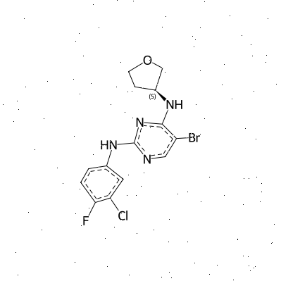 Fc1ccc(Nc2ncc(Br)c(N[C@H]3CCOC3)n2)cc1Cl